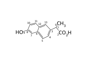 CC(C(=O)O)c1ccc2cc(O)ccc2c1